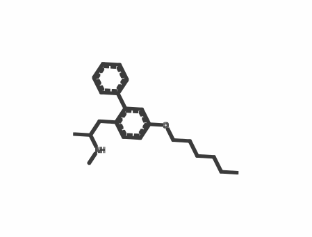 CCCCCCOc1ccc(CC(C)NC)c(-c2ccccc2)c1